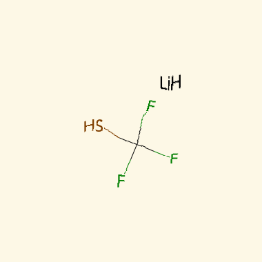 FC(F)(F)S.[LiH]